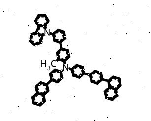 Cc1cc(-c2cccc(-n3c4ccccc4c4ccccc43)c2)ccc1N(c1ccc(-c2ccc(-c3cccc4ccccc34)cc2)cc1)c1ccc(-c2ccc3ccccc3c2)cc1